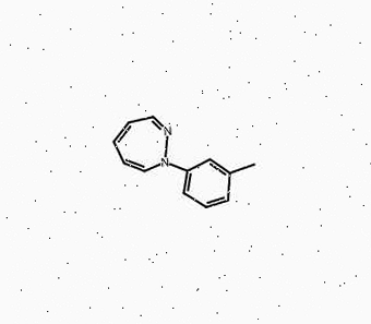 Cc1cccc(N2C=CC=CC=N2)c1